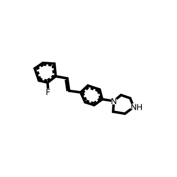 Fc1ccccc1/C=C/c1ccc(N2CCNCC2)cc1